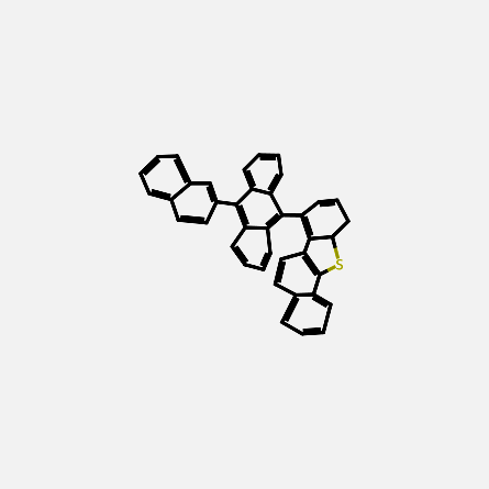 C1=CC(c2c3ccccc3c(-c3ccc4ccccc4c3)c3ccccc23)=C2c3ccc4ccccc4c3SC2C1